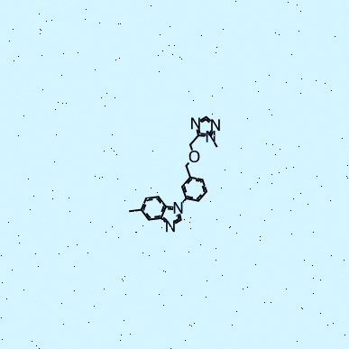 Cc1ccc2c(c1)ncn2-c1cccc(COCc2ncnn2C)c1